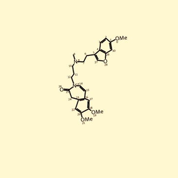 COc1ccc2c(CCN(C)CCCN3C=Cc4cc(OC)c(OC)cc4CC3=O)coc2c1